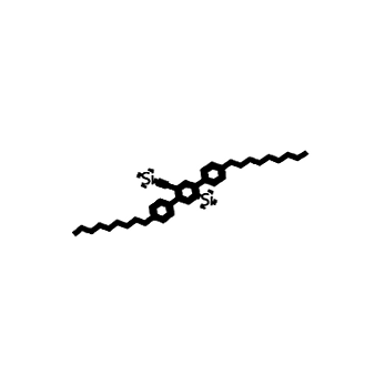 CCCCCCCCCc1ccc(-c2cc([Si](C)(C)C)c(-c3ccc(CCCCCCCCC)cc3)cc2C#C[Si](C)(C)C)cc1